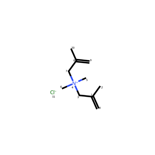 C=C(C)C[N+](C)(C)CC(=C)C.[Cl-]